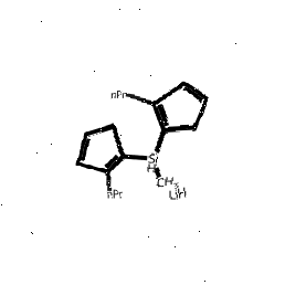 CCCC1=C([SiH](C)C2=C(CCC)C=CC2)CC=C1.[LiH]